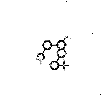 CS(=O)(=O)c1ccncc1-c1cnc2cc(N)cc(-c3cccc(-c4c[nH]nn4)c3)c2n1